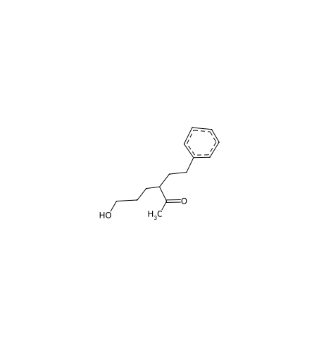 CC(=O)C(CCCO)CCc1ccccc1